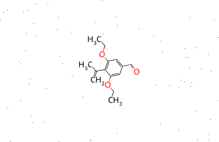 C=C(C)c1c(OCC)cc(C=O)cc1OCC